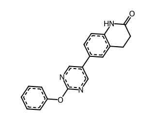 O=C1CCc2cc(-c3cnc(Oc4ccccc4)nc3)ccc2N1